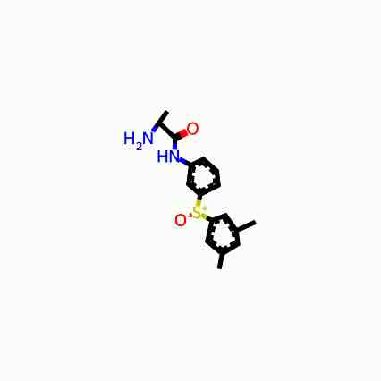 Cc1cc(C)cc([S+]([O-])c2cccc(NC(=O)C(C)N)c2)c1